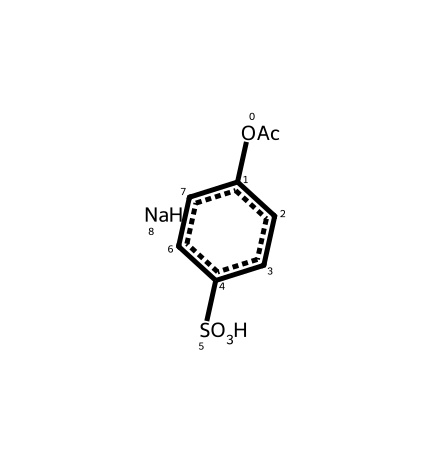 CC(=O)Oc1ccc(S(=O)(=O)O)cc1.[NaH]